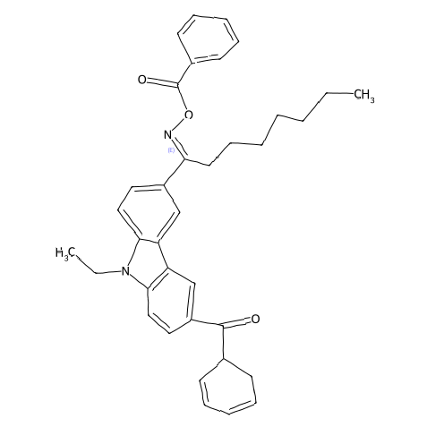 CCCCCCC/C(=N\OC(=O)c1ccccc1)c1ccc2c(c1)c1cc(C(=O)C3C=CC=CC3)ccc1n2CC